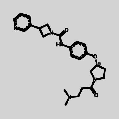 CN(C)CCC(=O)N1CC[C@@H](Oc2ccc(NC(=O)N3CC(c4cccnc4)C3)cc2)C1